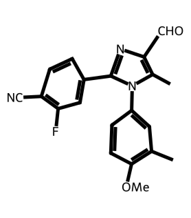 COc1ccc(-n2c(-c3ccc(C#N)c(F)c3)nc(C=O)c2C)cc1C